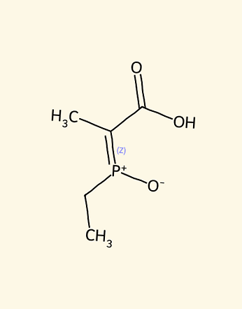 CC/[P+]([O-])=C(\C)C(=O)O